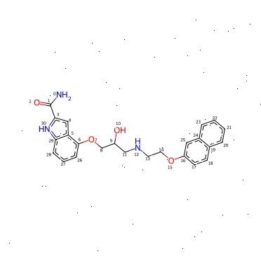 NC(=O)c1cc2c(OCC(O)CNCCOc3ccc4ccccc4c3)cccc2[nH]1